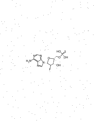 Nc1ncnc2c1ncn2[C@@H]1O[C@H](COP(O)(O)=S)[C@H](O)C1F